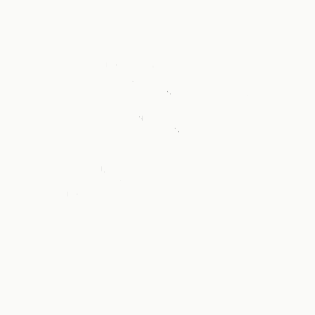 CCC(C)(C)c1nc(-c2ccccc2)nc(-c2ccc3c(c2)C(C)(C)c2ccccc2-3)n1